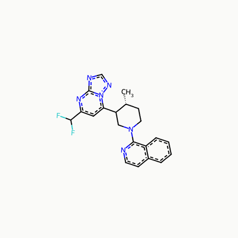 C[C@@H]1CCN(c2nccc3ccccc23)CC1c1cc(C(F)F)nc2ncnn12